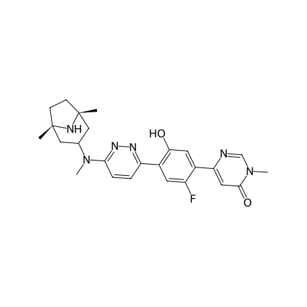 CN(c1ccc(-c2cc(F)c(-c3cc(=O)n(C)cn3)cc2O)nn1)C1C[C@]2(C)CC[C@](C)(C1)N2